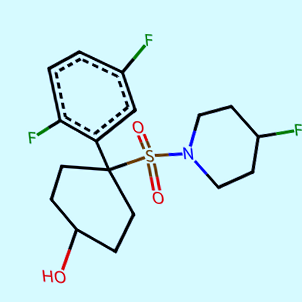 O=S(=O)(N1CCC(F)CC1)C1(c2cc(F)ccc2F)CCC(O)CC1